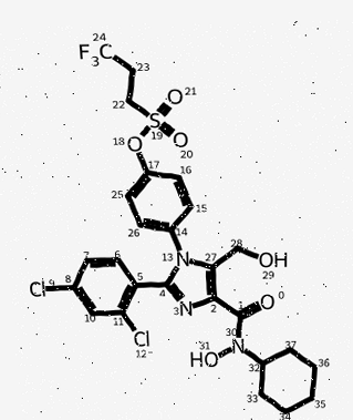 O=C(c1nc(-c2ccc(Cl)cc2Cl)n(-c2ccc(OS(=O)(=O)CCC(F)(F)F)cc2)c1CO)N(O)C1CCCCC1